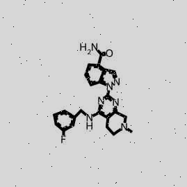 CN1CCc2c(nc(-n3ncc4c(C(N)=O)cccc43)nc2NCc2cccc(F)c2)C1